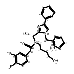 CC(C)(C)[C@H](c1nc(-c2ccccc2)cn1Cc1ccccc1)N(CC[C@H](N)CO)C(=O)Cc1ccc(F)c(F)c1